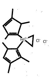 CC1=CC(C)[C]([Hf+2]2([C]3=C(C)C=C(C)C3C)[CH2][CH2]2)=C1C.[Cl-].[Cl-]